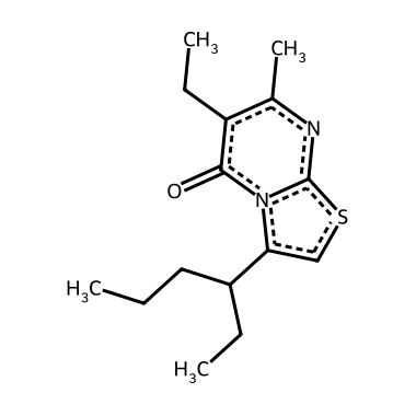 CCCC(CC)c1csc2nc(C)c(CC)c(=O)n12